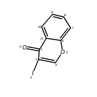 O=c1c(I)coc2ccccc12